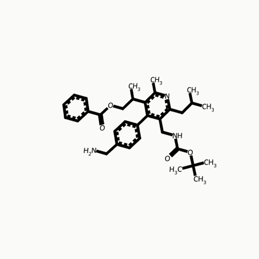 Cc1nc(CC(C)C)c(CNC(=O)OC(C)(C)C)c(-c2ccc(CN)cc2)c1C(C)COC(=O)c1ccccc1